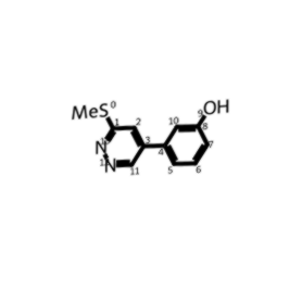 CSc1cc(-c2cccc(O)c2)cnn1